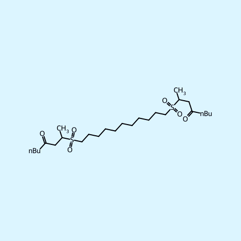 CCCCC(=O)CC(C)S(=O)(=O)CCCCCCCCCCCS(=O)(=O)C(C)CC(=O)CCCC